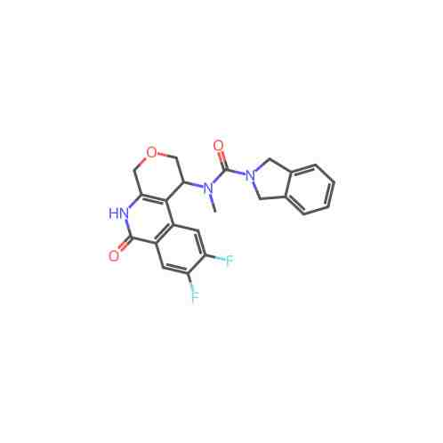 CN(C(=O)N1Cc2ccccc2C1)C1COCc2[nH]c(=O)c3cc(F)c(F)cc3c21